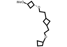 CO[C@H]1C[C@H](OCCC2CC(CCOC3CCC3)C2)C1